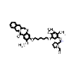 COc1cc2c(cc1OCCCCCOc1cc(/N=C\C3CCCN3C=O)c(C)cc1OC)N=CC1Cc3ccccc3CN1C2=O